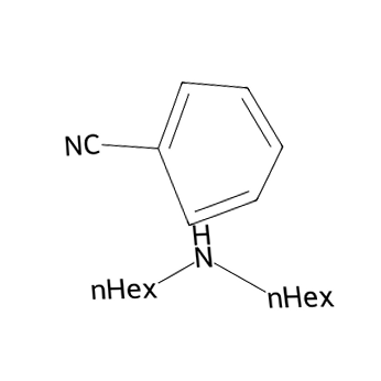 CCCCCCNCCCCCC.N#Cc1ccccc1